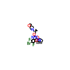 CC(C)(C)OC(=O)N1C2CCC1CN(c1nc(OCC3(CN4CCC5(CCO5)CC4)CC3)nc3c(F)c(Br)c(F)cc13)C2